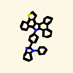 c1ccc(-n2c(-c3ccc(-n4c5c6ccccc6c6ccccc6c5c5c6ccsc6c6ccccc6c54)cc3)nc3ccccc32)cc1